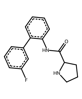 O=C(Nc1ccccc1-c1cccc(F)c1)C1CCCN1